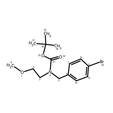 COCCN(Cc1ccc(Br)cc1)C(=O)OC(C)(C)C